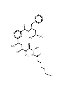 CNCCCCCC(=O)N[C@H](C(=O)N(C)[C@H](C[C@@H](OC(C)=O)c1cccc(C(=O)N[C@@H](Cc2ccccc2)C[C@H](C)C(=O)O)n1)C(C)C)C(C)C